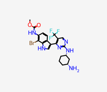 COC(=O)Nc1ccc2c(-c3nc(N[C@H]4CCC[C@@H](N)C4)ncc3C(F)(F)F)c[nH]c2c1Br